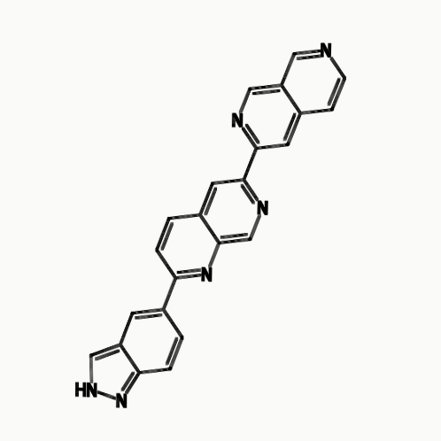 c1cc2cc(-c3cc4ccc(-c5ccc6n[nH]cc6c5)nc4cn3)ncc2cn1